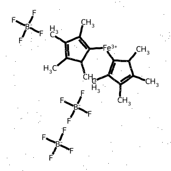 CC1=C(C)C(C)[C]([Fe+3][C]2=C(C)C(C)=C(C)C2C)=C1C.F[B-](F)(F)F.F[B-](F)(F)F.F[B-](F)(F)F